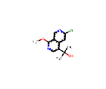 COc1ncc(C(C)(C)O)c2cc(Cl)ncc12